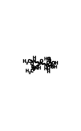 C=CC(=O)NCCN(CCNC(=O)C=C)C(=O)CCNC1OC(CO)C(O)C(O)C1O